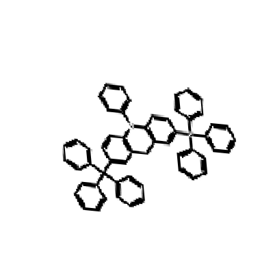 c1ccc(N2c3ccc(C(c4ccccc4)(c4ccccc4)c4ccccc4)cc3Cc3cc([Si](c4ccccc4)(c4ccccc4)c4ccccc4)ccc32)cc1